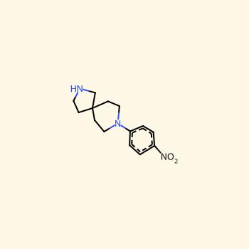 O=[N+]([O-])c1ccc(N2CCC3(CCNC3)CC2)cc1